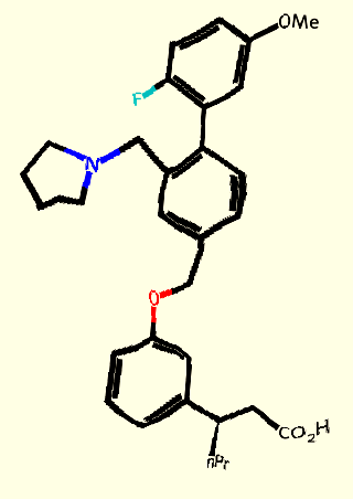 CCC[C@H](CC(=O)O)c1cccc(OCc2ccc(-c3cc(OC)ccc3F)c(CN3CCCC3)c2)c1